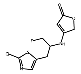 O=C1C=C(NC(CF)Cc2cnc(Cl)s2)CO1